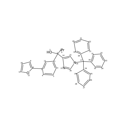 CC(C)C(O)(c1cccc(-c2ccco2)c1)c1cn(C(c2ccccc2)(c2ccccc2)c2ccccc2)cn1